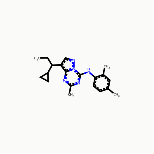 CCC(c1cnn2c(Nc3ccc(C)cc3C)nc(C)nc12)C1CC1